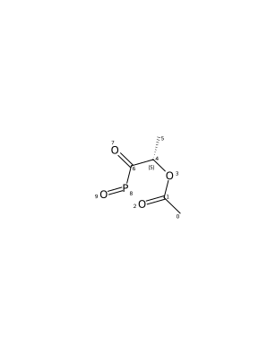 CC(=O)O[C@@H](C)C(=O)P=O